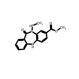 COC(=O)c1ccc2c(c1)N(PC)C(=O)c1ccccc1N2